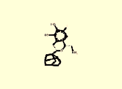 NC[C@@H]1O[C@H](C23CC4CC(CC(C4)C2)C3)Cc2c1cc(F)c(O)c2O